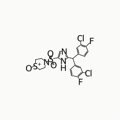 O=S(=O)(c1cnc(C(c2ccc(F)c(Cl)c2)c2ccc(F)c(Cl)c2)[nH]1)N1CC[S+]([O-])CC1